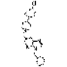 Clc1ccc(C2CCN(Cc3cnc4c(c3)N=CCN4Cc3ccccc3)CC2)cc1